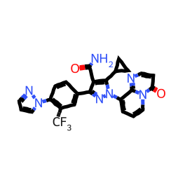 NC(=O)c1c(-c2ccc(-n3cccn3)c(C(F)(F)F)c2)nn(-c2cccn3c(=O)ccnc23)c1C1CC1